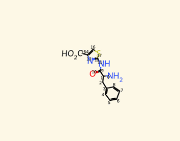 NC(Cc1ccccc1)C(=O)Nc1nc(C(=O)O)cs1